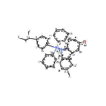 CCC(C)c1ccc([N+](c2ccccc2)(c2ccccc2)n2c3ccc(C)cc3c3cc(Br)ccc32)cc1